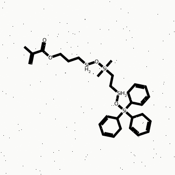 C=C(C)C(=O)OCCC[SiH2]O[Si](C)(C)CC[SiH2]O[Si](C1C=CC=CC1)(C1C=CC=CC1)C1C=CC=CC1